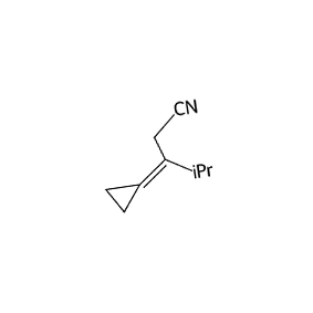 CC(C)C(CC#N)=C1CC1